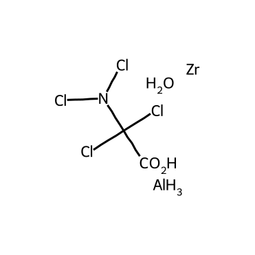 O.O=C(O)C(Cl)(Cl)N(Cl)Cl.[AlH3].[Zr]